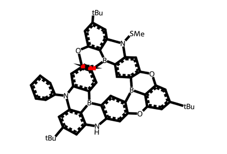 CSN1c2cc3c(cc2B2c4ccccc4Oc4cc(C(C)(C)C)cc1c42)B1c2cc4c(cc2Oc2cc(C(C)(C)C)cc(c21)O3)Nc1cc(C(C)(C)C)cc2c1B4c1ccccc1N2c1ccccc1